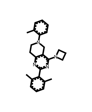 Cc1ccccc1N1CCc2nc(-c3c(C)cccc3C)nc(N3CCC3)c2C1